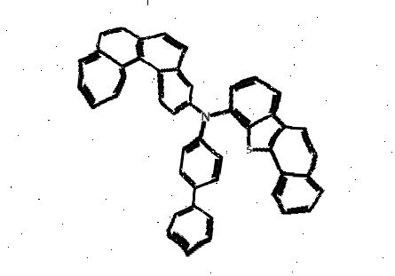 c1ccc(-c2ccc(N(c3ccc4c(ccc5ccc6ccccc6c54)c3)c3cccc4c3sc3c5ccccc5ccc43)cc2)cc1